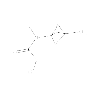 CN(C(=O)OC(C)(C)C)C12CC(C(F)(F)F)(C1)C2